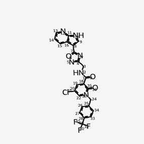 O=C(NCc1noc(-c2c[nH]c3ncccc23)n1)c1cc(Cl)cn(Cc2ccc(C(F)(F)F)cc2)c1=O